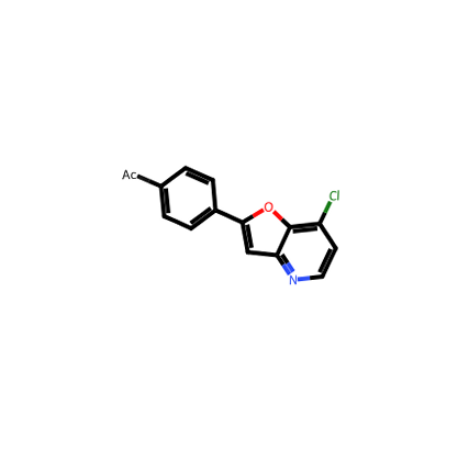 CC(=O)c1ccc(-c2cc3nccc(Cl)c3o2)cc1